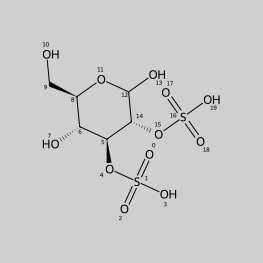 O=S(=O)(O)O[C@H]1[C@H](O)[C@@H](CO)OC(O)[C@@H]1OS(=O)(=O)O